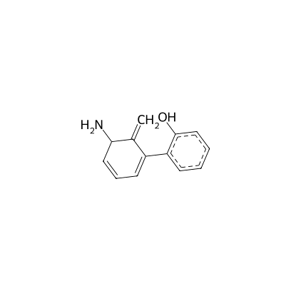 C=C1C(c2ccccc2O)=CC=CC1N